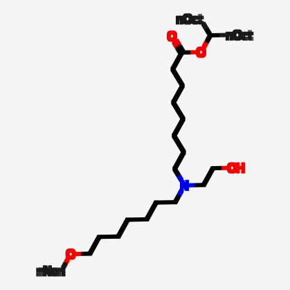 CCCCCCCCCOCCCCCCCN(CCO)CCCCCCCC(=O)OC(CCCCCCCC)CCCCCCCC